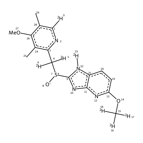 [2H]c1nc(C([2H])([2H])[S+]([O-])c2nc3nc(OC([2H])([2H])[2H])ccc3n2[2H])c(C)c(OC)c1C